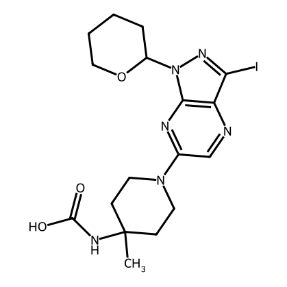 CC1(NC(=O)O)CCN(c2cnc3c(I)nn(C4CCCCO4)c3n2)CC1